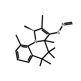 C=NSC1=C(C)[C@H](C)N2c3c(C)cccc3C(C)(C)C(C)(C)C12C